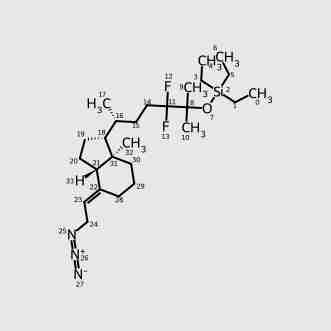 CC[Si](CC)(CC)OC(C)(C)C(F)(F)CC[C@@H](C)[C@H]1CC[C@H]2/C(=C/CN=[N+]=[N-])CCC[C@]12C